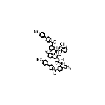 Cc1ccc(C(=O)N2CCC(c3ccc(C#N)cc3)CC2)cc1NC(=O)NC(Cc1ccc(F)cc1)C(=O)ON(C(=O)NC(C)c1ccccn1)c1cc(C(=O)N2CCC(c3ccc(C#N)cc3)CC2)ccc1C